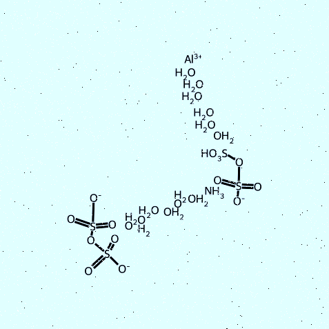 N.O.O.O.O.O.O.O.O.O.O.O.O.O=S(=O)([O-])OS(=O)(=O)O.O=S(=O)([O-])OS(=O)(=O)[O-].[Al+3]